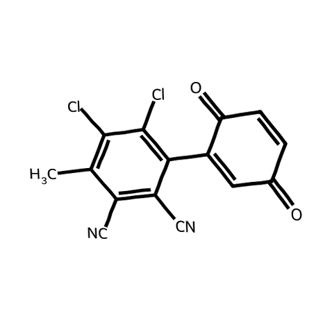 Cc1c(Cl)c(Cl)c(C2=CC(=O)C=CC2=O)c(C#N)c1C#N